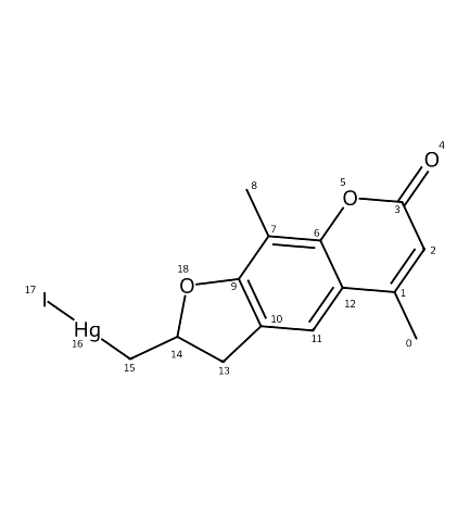 Cc1cc(=O)oc2c(C)c3c(cc12)CC([CH2][Hg][I])O3